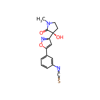 CN1CC[C@](O)(c2cc(-c3cccc(N=C=S)c3)on2)C1=O